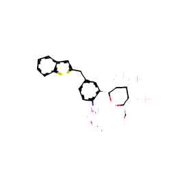 N#CONc1ccc(Cc2cc3ccccc3s2)cc1[C@@H]1O[C@H](CO)[C@@H](O)[C@H](O)[C@H]1O